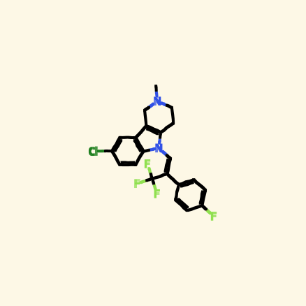 CN1CCc2c(c3cc(Cl)ccc3n2/C=C(/c2ccc(F)cc2)C(F)(F)F)C1